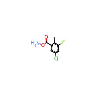 Cc1c(F)cc(Cl)cc1C(=O)ON